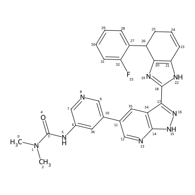 CN(C)C(=O)Nc1cncc(-c2cnc3[nH]nc(-c4nc5c([nH]4)C=CCC5c4ccccc4F)c3c2)c1